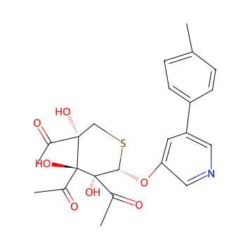 CC(=O)[C@]1(O)[C@@](O)(C(C)=O)CS[C@H](Oc2cncc(-c3ccc(C)cc3)c2)[C@@]1(O)C(C)=O